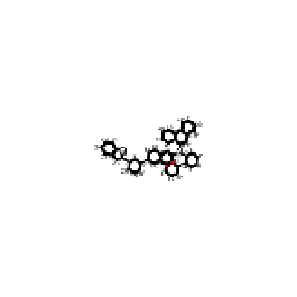 c1ccc(-c2ccccc2N(c2ccc3cc(-c4cccc(-c5cc6ccccc6o5)c4)ccc3c2)c2cc3ccccc3c3ccccc23)cc1